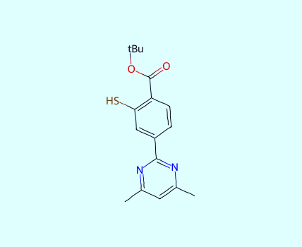 Cc1cc(C)nc(-c2ccc(C(=O)OC(C)(C)C)c(S)c2)n1